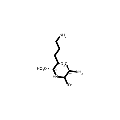 CC(C)C(N[C@@H](CCCCN)C(=O)O)[C@H](N)C(=O)O